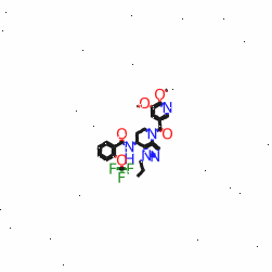 CCCn1ncc2c1C(NC(=O)c1ccccc1OC(F)(F)F)CCN2C(=O)c1cnc(OC)c(OC)c1